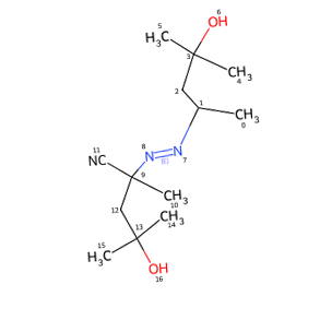 CC(CC(C)(C)O)/N=N/C(C)(C#N)CC(C)(C)O